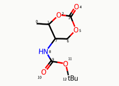 CC1OC(=O)OCC1NC(=O)OC(C)(C)C